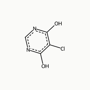 Oc1ncnc(O)c1Cl